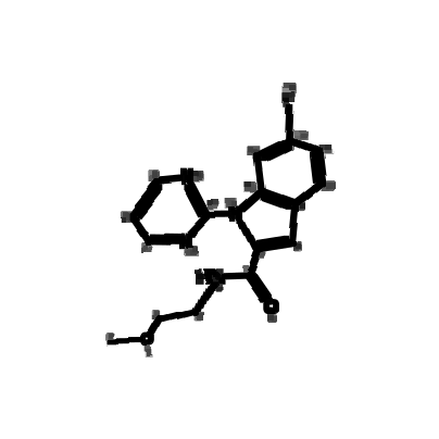 COCCNC(=O)c1cc2ccc(F)cc2n1-c1ncccn1